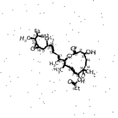 CCC(=O)OC1/C=C/C(C)C(/C(C)=C/C=C/C(C)CC2OC2C(C)C(CC)N=O)OC(=O)CC(O)CCC1(C)O